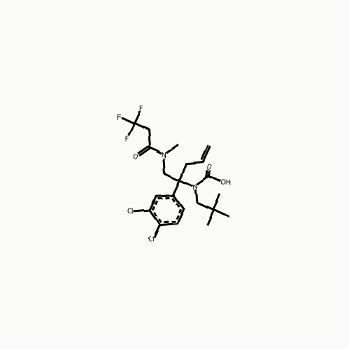 C=CCC(CN(C)C(=O)CC(F)(F)F)(c1ccc(Cl)c(Cl)c1)N(CC(C)(C)C)C(=O)O